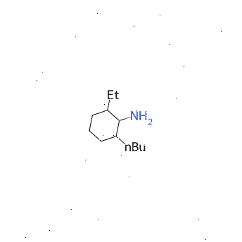 CCCCC1CCCC(CC)C1N